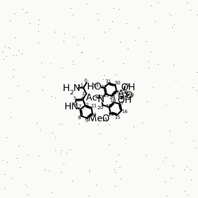 CC(N)Cc1c[nH]c2ccccc12.COc1ccccc1CN(C(C)=O)c1cc([As](=O)(O)O)ccc1O